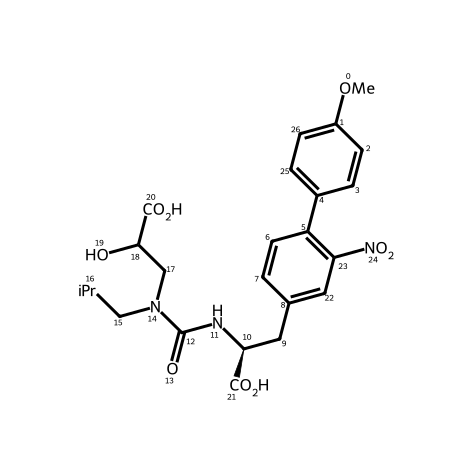 COc1ccc(-c2ccc(C[C@H](NC(=O)N(CC(C)C)CC(O)C(=O)O)C(=O)O)cc2[N+](=O)[O-])cc1